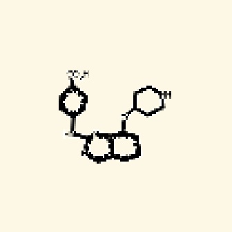 O=C(O)c1ccc(Nc2ncc3cccc(OC4CCNCC4)c3n2)cc1